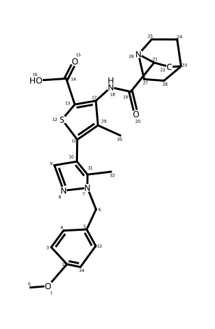 COc1ccc(Cn2ncc(-c3sc(C(=O)O)c(NC(=O)C4CC5CCN4CC5)c3C)c2C)cc1